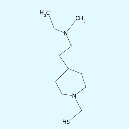 CCN(C)CCC1CCN(CS)CC1